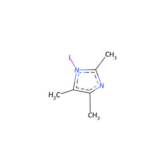 Cc1nc(C)n(I)c1C